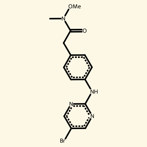 CON(C)C(=O)Cc1ccc(Nc2ncc(Br)cn2)cc1